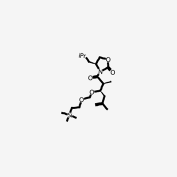 C=C(C)C[C@@H](OCOCC[Si](C)(C)C)[C@H](C)C(=O)N1C(=O)OC[C@@H]1CC(C)C